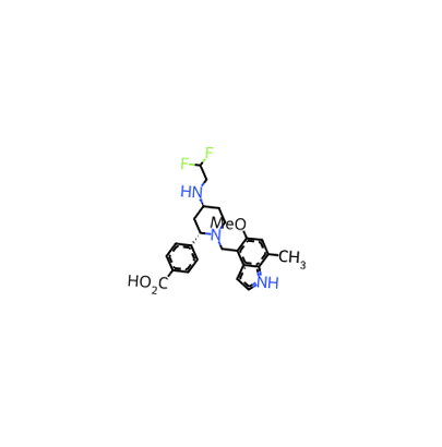 COc1cc(C)c2[nH]ccc2c1CN1CC[C@H](NCC(F)F)C[C@H]1c1ccc(C(=O)O)cc1